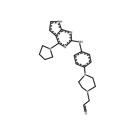 O=CCN1CCN(c2ccc(Nc3nc(N4CCCC4)c4cc[nH]c4n3)cc2)CC1